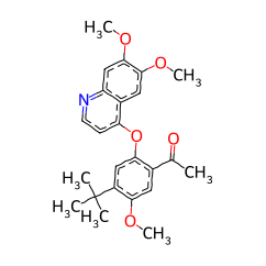 COc1cc2nccc(Oc3cc(C(C)(C)C)c(OC)cc3C(C)=O)c2cc1OC